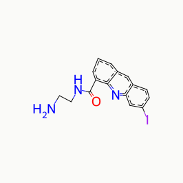 NCCNC(=O)c1cccc2cc3ccc(I)cc3nc12